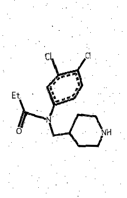 CCC(=O)N(CC1CCNCC1)c1ccc(Cl)c(Cl)c1